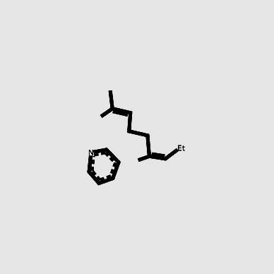 CCC=C(C)CCC=C(C)C.c1ccncc1